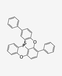 S=P12c3ccccc3Oc3ccc(-c4ccccc4)c(c31)Oc1ccc(-c3ccccc3)cc12